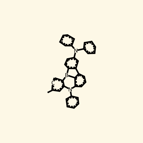 Cc1ccc2c(c1)N(c1ccccc1)c1cccc3c1B2c1ccc(N(c2ccccc2)c2ccccc2)cc1-3